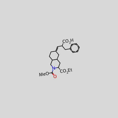 CCOC(=O)C1CC2CC(=CC(Cc3ccccc3)C(=O)O)CCC2CN1C(=O)OC